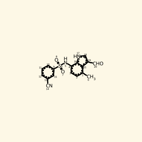 Cc1ccc(NS(=O)(=O)c2cccc(C#N)c2)c2[nH]cc(C=O)c12